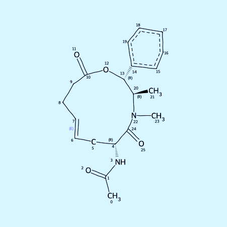 CC(=O)N[C@@H]1C/C=C/CCC(=O)O[C@H](c2ccccc2)[C@@H](C)N(C)C1=O